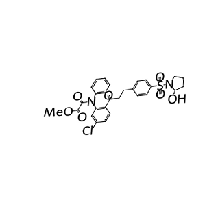 COC(=O)C(=O)N(c1ccccc1)c1cc(Cl)ccc1C(=O)CCc1ccc(S(=O)(=O)N2CCCC2O)cc1